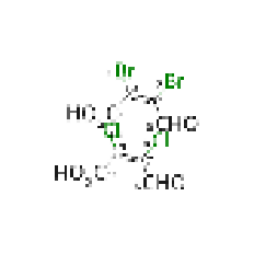 O=C/C(Br)=C(/Br)C(=O)O.O=C/C(Cl)=C(/Cl)C(=O)O